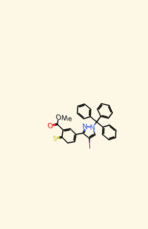 COC(=O)C1=CC(c2nn(C(c3ccccc3)(c3ccccc3)c3ccccc3)cc2I)=CCC1=S